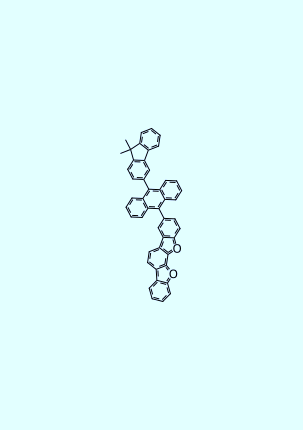 CC1(C)c2ccccc2-c2cc(-c3c4ccccc4c(-c4ccc5oc6c(ccc7c8ccccc8oc76)c5c4)c4ccccc34)ccc21